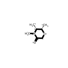 C[C@@H]1OCC(=O)N(C)[C@@H]1C